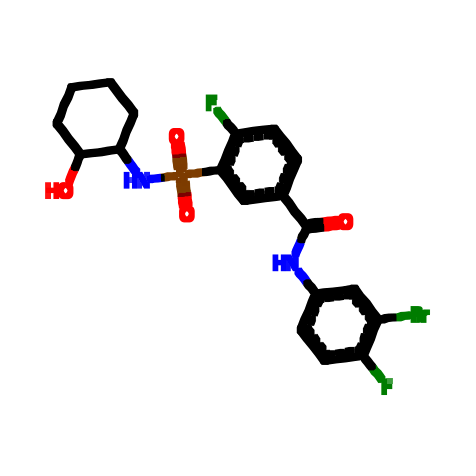 O=C(Nc1ccc(F)c(Br)c1)c1ccc(F)c(S(=O)(=O)NC2CCCCC2O)c1